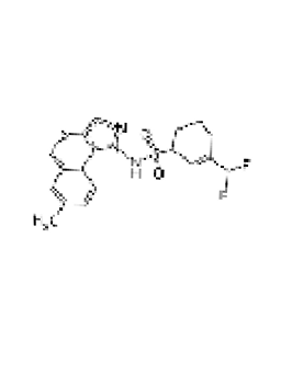 CC1=CC2=CSc3cnn(NS(=O)(=O)C4C=C(C(F)F)CCC4)c3C2C=C1